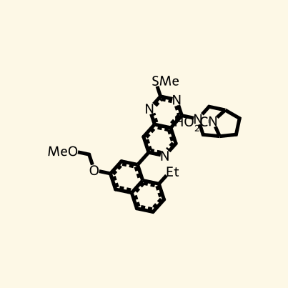 CCc1cccc2cc(OCOC)cc(-c3cc4nc(SC)nc(N5CC6CCC(C5)N6C(=O)O)c4cn3)c12